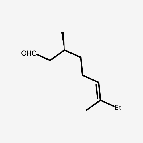 CC/C(C)=C/CC[C@H](C)CC=O